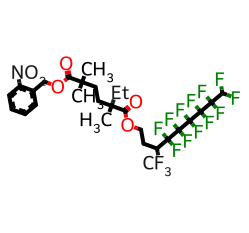 CCC(C)(CCC(C)(C)C(=O)OCc1ccccc1[N+](=O)[O-])C(=O)OCCC(C(F)(F)F)C(F)(F)C(F)(F)C(F)(F)C(F)(F)C(F)(F)C(F)F